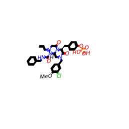 C=CCN1CC(=O)N2[C@@H](Cc3ccc(OP(=O)(O)O)cc3)C(=O)N(Cc3ccc(OC)c(Cl)c3)C[C@@H]2N1C(=O)NCc1ccccc1